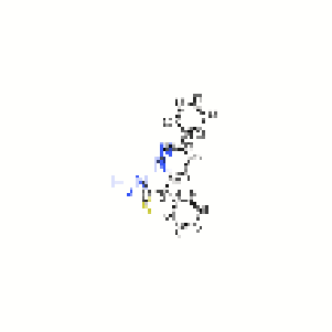 NC(=S)C(c1ccccc1)c1ccc(-c2ccccc2)nn1